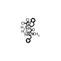 CN1NC(Cc2ccccc2)N(C)C1C(=O)NC1CCc2ccccc2N2C(Cl)=C(Cl)N(C)C12